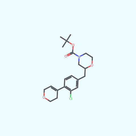 CC(C)(C)OC(=O)N1CCOC(Cc2ccc(C3=CCOCC3)c(Cl)c2)C1